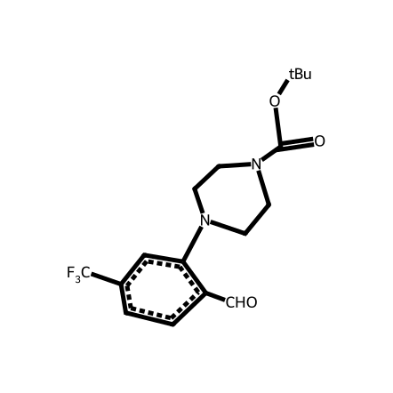 CC(C)(C)OC(=O)N1CCN(c2cc(C(F)(F)F)ccc2C=O)CC1